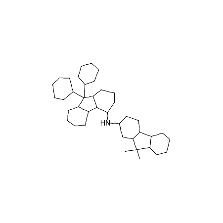 CC1(C)C2CCCCC2C2CCC(NC3CCCC4C3C3CCCCC3C4(C3CCCCC3)C3CCCCC3)CC21